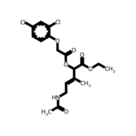 CCOC(=O)C(OC(=O)COc1ccc(Cl)cc1Cl)C(C)=CCNC(C)=O